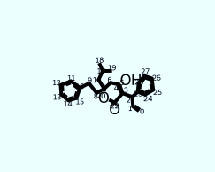 C=CC(C1=C(O)CC(CCc2ccccc2)(CC(C)C)OC1=O)c1ccccc1